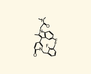 Cc1c(-c2ccc(=O)n(Cc3cccc(F)c3F)c2)c2cc(F)ccc2n1CC(=O)N(C)C